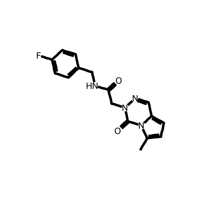 Cc1ccc2cnn(CC(=O)NCc3ccc(F)cc3)c(=O)n12